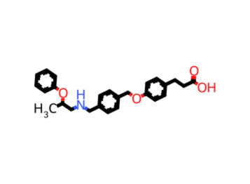 CC(CNCc1ccc(COc2ccc(CCC(=O)O)cc2)cc1)Oc1ccccc1